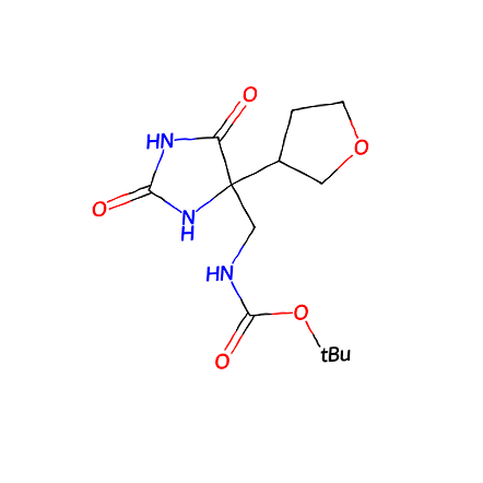 CC(C)(C)OC(=O)NCC1(C2CCOC2)NC(=O)NC1=O